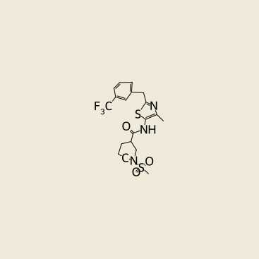 Cc1nc(Cc2cccc(C(F)(F)F)c2)sc1NC(=O)C1CCCN(S(C)(=O)=O)C1